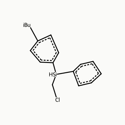 CCC(C)c1ccc([SiH](CCl)c2ccccc2)cc1